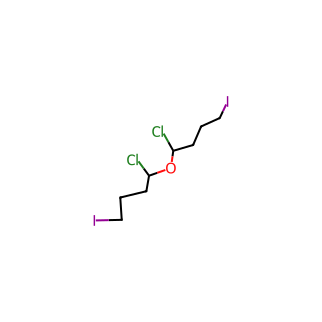 ClC(CCCI)OC(Cl)CCCI